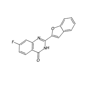 O=c1[nH]c(-c2cc3ccccc3o2)nc2cc(F)ccc12